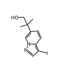 CC(C)(CO)c1ccc2c(I)cnn2c1